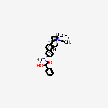 C[C@H]1[C@H]2CC[C@H]3[C@@H]4CC=C5C[C@@H](N(C)C(=O)C(O)c6ccccc6)CC[C@]5(C)[C@H]4CC[C@]23CN1C